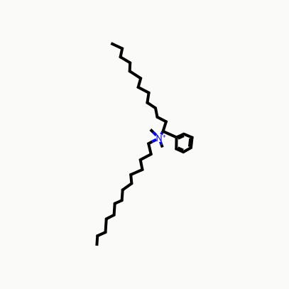 CCCCCCCCCCCCCC[N+](C)(C)C(CCCCCCCCCCCC)c1ccccc1